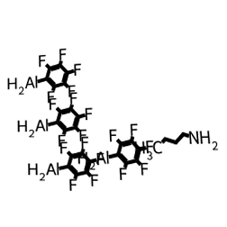 CCCCN.Fc1c(F)c(F)[c]([AlH2])c(F)c1F.Fc1c(F)c(F)[c]([AlH2])c(F)c1F.Fc1c(F)c(F)[c]([AlH2])c(F)c1F.Fc1c(F)c(F)[c]([AlH2])c(F)c1F